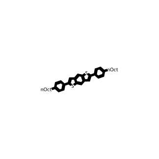 CCCCCCCCc1ccc(-c2cc3cc4sc(-c5ccc(CCCCCCCC)cc5)cc4cc3s2)cc1